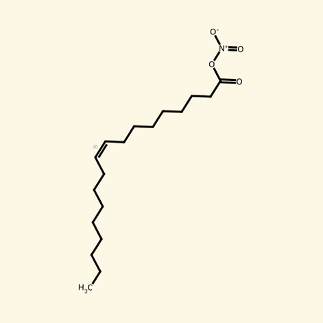 CCCCCCCC/C=C\CCCCCCCC(=O)O[N+](=O)[O-]